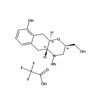 CCCN1C[C@H](CO)O[C@@H]2Cc3c(O)cccc3C[C@H]21.O=C(O)C(F)(F)F